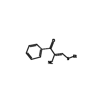 CCS/C=C(\C#N)C(=O)c1ccccc1